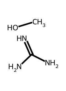 CO.N=C(N)N